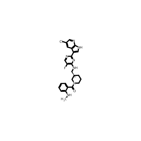 CNc1ccccc1C(=O)N1CCC[C@H](CNc2nc(-c3c[nH]c4ncc(Cl)cc34)ncc2F)C1